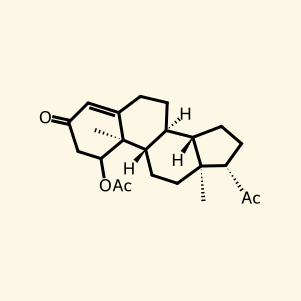 CC(=O)OC1CC(=O)C=C2CC[C@H]3[C@@H]4CC[C@H](C(C)=O)[C@@]4(C)CC[C@@H]3[C@]21C